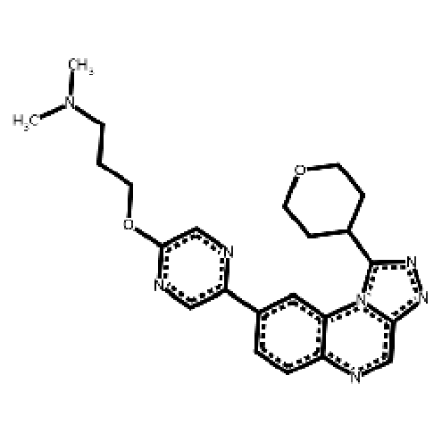 CN(C)CCCOc1cnc(-c2ccc3ncc4nnc(C5CCOCC5)n4c3c2)cn1